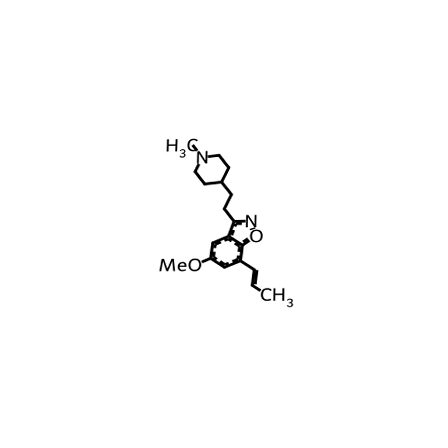 C/C=C/c1cc(OC)cc2c(CCC3CCN(C)CC3)noc12